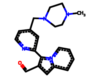 CN1CCN(Cc2ccnc(-c3c(C=O)cc4ccccn34)c2)CC1